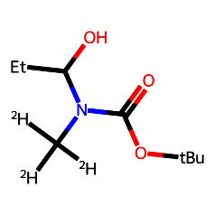 [2H]C([2H])([2H])N(C(=O)OC(C)(C)C)C(O)CC